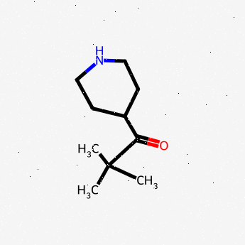 CC(C)(C)C(=O)C1CCNCC1